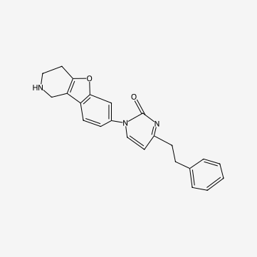 O=c1nc(CCc2ccccc2)ccn1-c1ccc2c3c(oc2c1)CCNC3